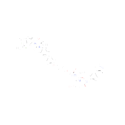 Cc1ncsc1-c1ccc(CNC(=O)[C@@H]2C[C@H](O)CN2C(=O)[C@@H](NC(=O)COCCCCOc2ccc(-c3ccc(N4C(=S)N(c5ccc(C#N)c(C(C)(F)F)c5)C(O)C4(C)C)cc3)cc2)C(C)(C)C)cc1